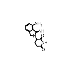 N=C1c2c(N)cccc2CN1C1CCC(=O)NC1=O